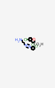 NCCCCN1CCN(c2cccc(Cl)c2Cl)CC1.O=C(O)C1=Cc2cc(Cl)ccc2OC1